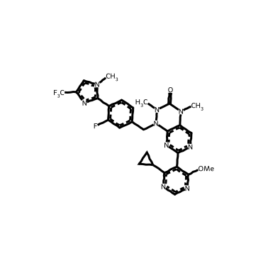 COc1ncnc(C2CC2)c1-c1ncc2c(n1)N(Cc1ccc(-c3nc(C(F)(F)F)cn3C)c(F)c1)N(C)C(=O)N2C